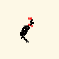 C=C(CCO)C(=O)O[C@H]1CC[C@@]2(C)[C@@H](CC[C@@H]3[C@@H]2CC[C@]2(C)C([C@H](C)CCCC(C)C)CC[C@@H]32)C1